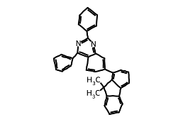 CC1(C)c2ccccc2-c2cccc(-c3ccc4c(-c5ccccc5)nc(-c5ccccc5)nc4c3)c21